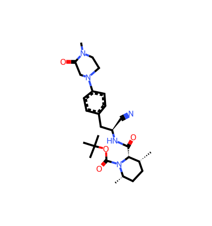 C[C@@H]1CC[C@H](C)N(C(=O)OC(C)(C)C)[C@@H]1C(=O)N[C@H](C#N)Cc1ccc(N2CCN(C)C(=O)C2)cc1